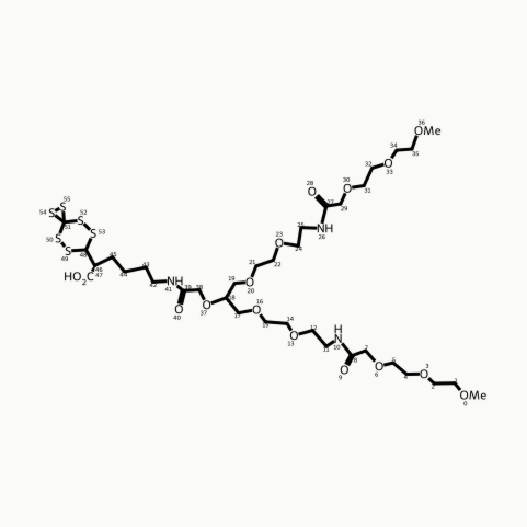 COCCOCCOCC(=O)NCCOCCOCC(COCCOCCNC(=O)COCCOCCOC)OCC(=O)NCCCC[C@@H](C(=O)O)C1SSC2(SS1)SS2